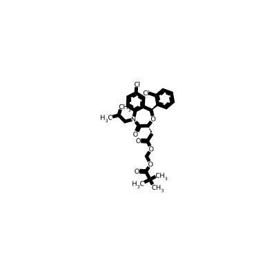 CC(C)CN1C(=O)[C@@H](CC(=O)OCOC(=O)C(C)(C)C)O[C@H](c2ccccc2Cl)c2cc(Cl)ccc21